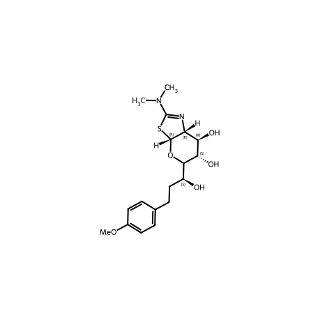 COc1ccc(CC[C@H](O)C2O[C@@H]3SC(N(C)C)=N[C@@H]3[C@@H](O)[C@@H]2O)cc1